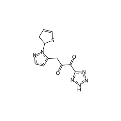 O=C(Cc1ccnn1C1CC=CS1)C(=O)c1nn[nH]n1